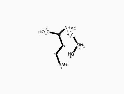 CSCCC(NC(C)=O)C(=O)O.C[SiH2]O